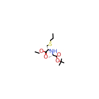 CCCSC[C@H](N[C@@H](C)C(=O)OC(C)(C)C)C(=O)OCC